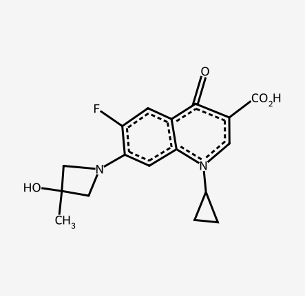 CC1(O)CN(c2cc3c(cc2F)c(=O)c(C(=O)O)cn3C2CC2)C1